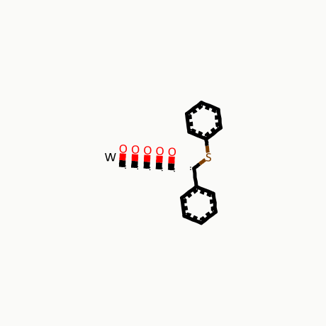 [C](Sc1ccccc1)c1ccccc1.[C]=O.[C]=O.[C]=O.[C]=O.[C]=O.[W]